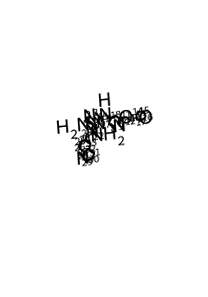 Nc1ncc(Nc2ccnc(OC[C@@H]3CCOC3)c2)nc1N(N)Cc1ccc2ncccc2c1